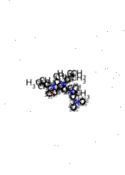 Cc1cc2c3c(c1)N(c1ccc(C(C)(C)C)cc1-c1ccccc1)c1ccccc1B3c1ccc(N3c4ccc(N(c5ccccc5)c5ccccc5)cc4C4(C)CCCCC34C)cc1N2c1ccc(C(C)(C)C)cc1